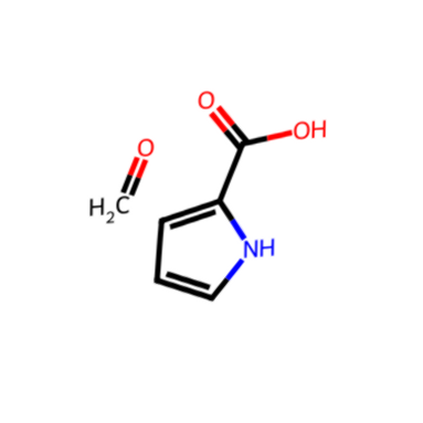 C=O.O=C(O)c1ccc[nH]1